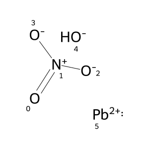 O=[N+]([O-])[O-].[OH-].[Pb+2]